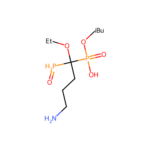 CCOC(CCCN)([PH2]=O)P(=O)(O)OC(C)CC